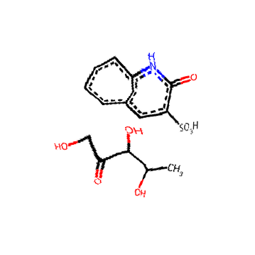 CC(O)C(O)C(=O)CO.O=c1[nH]c2ccccc2cc1S(=O)(=O)O